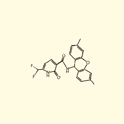 Cc1ccc2c(c1)Oc1cc(C)ccc1C2NC(=O)c1ccc(C(F)F)[nH]c1=O